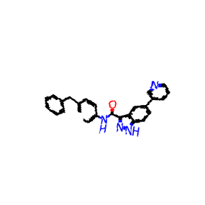 C=C(/C=C\C(=C/C)NC(=O)c1n[nH]c2ccc(-c3cccnc3)cc12)Cc1ccccc1